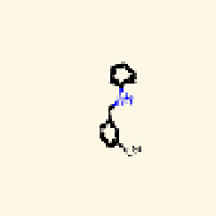 N#Cc1cccc(CNc2[c]cccc2)c1